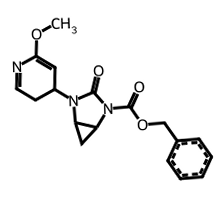 COC1=CC(N2C(=O)N(C(=O)OCc3ccccc3)C3CC32)CC=N1